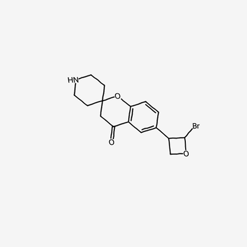 O=C1CC2(CCNCC2)Oc2ccc(C3COC3Br)cc21